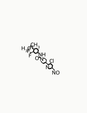 CN(C)c1ccc(NC(=O)N2CC=C(c3ncc(CN=O)cc3Cl)CC2)cc1C(F)F